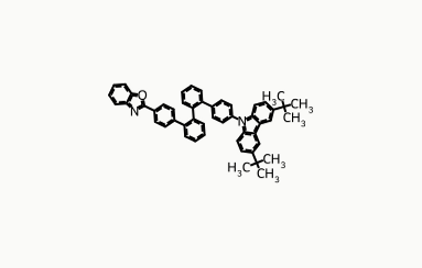 CC(C)(C)c1ccc2c(c1)c1cc(C(C)(C)C)ccc1n2-c1ccc(-c2ccccc2-c2ccccc2-c2ccc(-c3nc4ccccc4o3)cc2)cc1